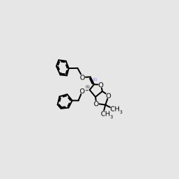 CC1(C)OC2O/C(=C/OCc3ccccc3)[C@@H](OCc3ccccc3)C2O1